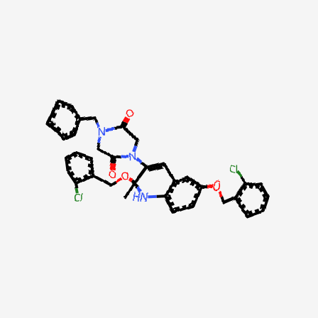 CC1(OCc2ccccc2Cl)Nc2ccc(OCc3ccccc3Cl)cc2C=C1N1CC(=O)N(Cc2ccccc2)CC1=O